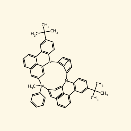 CC(C)(C)c1ccc(N2c3cccc(c3)[Si](C)(c3ccccc3)c3cccc(c3)N(c3ccc(C(C)(C)C)cc3-c3ccccc3)c3cccc2c3Cl)c(-c2ccccc2)c1